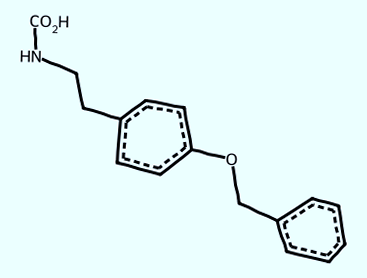 O=C(O)NCCc1ccc(OCc2ccccc2)cc1